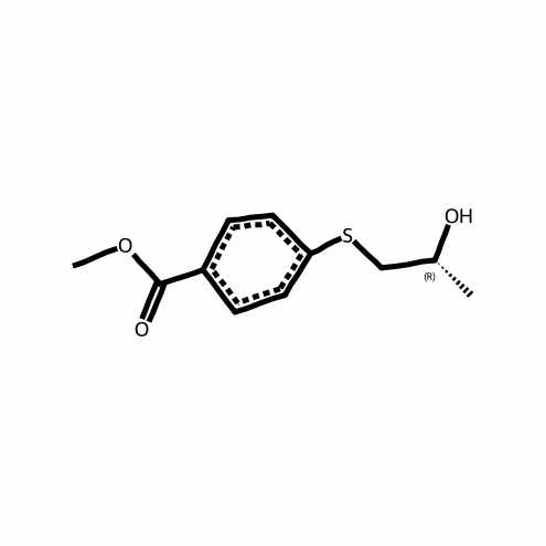 COC(=O)c1ccc(SC[C@@H](C)O)cc1